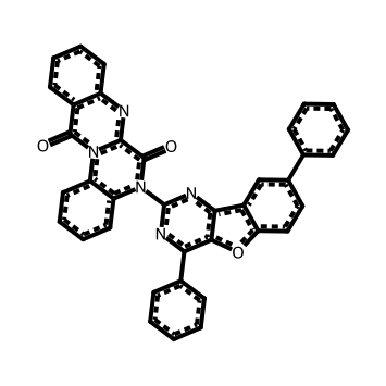 O=c1c2nc3ccccc3c(=O)n2c2ccccc2n1-c1nc(-c2ccccc2)c2oc3ccc(-c4ccccc4)cc3c2n1